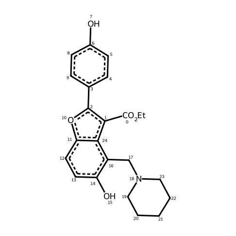 CCOC(=O)c1c(-c2ccc(O)cc2)oc2ccc(O)c(CN3CCCCC3)c12